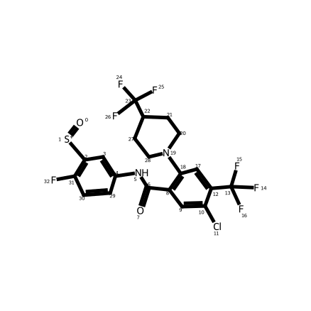 O=[S+]c1cc(NC(=O)c2cc(Cl)c(C(F)(F)F)cc2N2CCC(C(F)(F)F)CC2)ccc1F